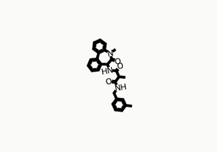 Cc1cccc(CNC(=O)C(C)C(=O)NC2C(=O)N(C)c3ccccc3-c3ccccc32)c1